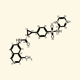 Cc1cncc2ccc(NC(=O)[C@@H]3CC3c3ccc(S(=O)(=O)Nc4cnccn4)cc3)cc12